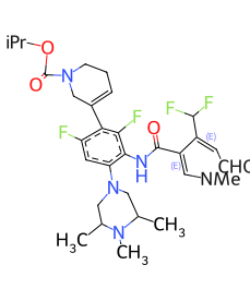 CN/C=C(C(=O)Nc1c(N2CC(C)N(C)C(C)C2)cc(F)c(C2=CCCN(C(=O)OC(C)C)C2)c1F)\C(=C/C=O)C(F)F